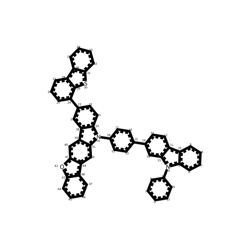 c1ccc(-n2c3ccccc3c3ccc(-c4ccc(-n5c6ccc(-c7cccc8c7sc7ccccc78)cc6c6cc7oc8ccccc8c7cc65)cc4)cc32)cc1